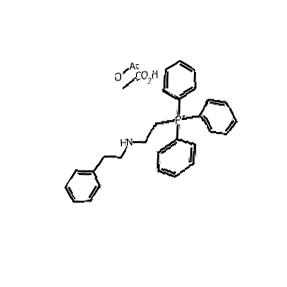 CC(=O)O.CC(=O)[O-].c1ccc(CCNCC[P+](c2ccccc2)(c2ccccc2)c2ccccc2)cc1